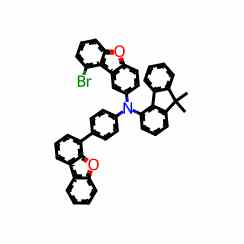 CC1(C)c2ccccc2-c2c(N(c3ccc(-c4cccc5c4oc4ccccc45)cc3)c3ccc4oc5cccc(Br)c5c4c3)cccc21